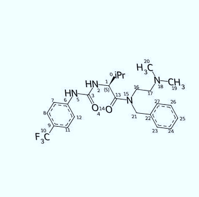 CC(C)[C@H](NC(=O)Nc1ccc(C(F)(F)F)cc1)C(=O)N(CCN(C)C)Cc1ccccc1